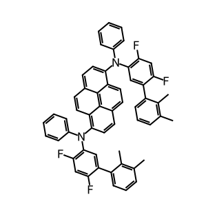 Cc1cccc(-c2cc(N(c3ccccc3)c3ccc4ccc5c(N(c6ccccc6)c6cc(-c7cccc(C)c7C)c(F)cc6F)ccc6ccc3c4c65)c(F)cc2F)c1C